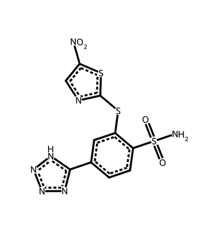 NS(=O)(=O)c1ccc(-c2nnn[nH]2)cc1Sc1ncc([N+](=O)[O-])s1